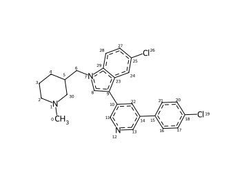 CN1CCCC(Cn2cc(-c3cncc(-c4ccc(Cl)cc4)c3)c3cc(Cl)ccc32)C1